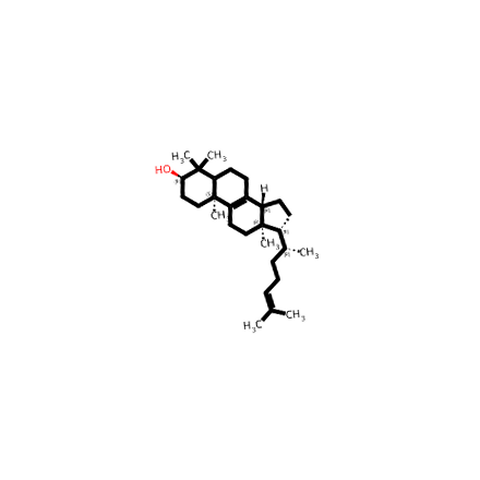 CC(C)=CCC[C@@H](C)[C@H]1CC[C@H]2C3=C(CC[C@]12C)[C@@]1(C)CC[C@@H](O)C(C)(C)C1CC3